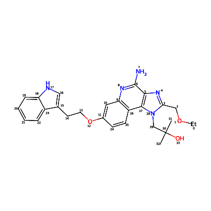 CCOCc1nc2c(N)nc3cc(OCCc4c[nH]c5ccccc45)ccc3c2n1CC(C)(C)O